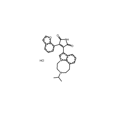 CC(C)N1CCc2cccc3c(C4=C(c5cccc6ccoc56)C(=O)NC4=O)cn(c23)CC1.Cl